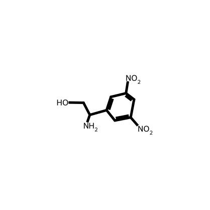 NC(CO)c1cc([N+](=O)[O-])cc([N+](=O)[O-])c1